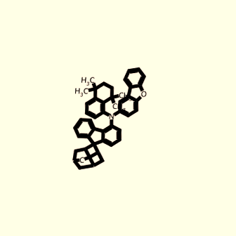 CC1(C)CCC(C)(C)c2c(N(c3ccc4oc5ccccc5c4c3)c3cccc4c3-c3ccccc3C43C4CC5CC6CC3C64C5)cccc21